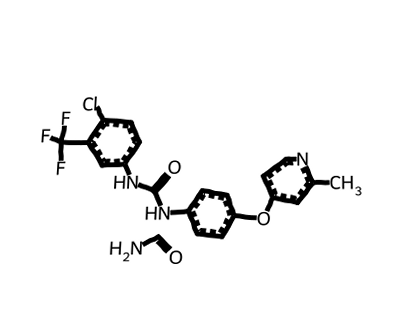 Cc1cc(Oc2ccc(NC(=O)Nc3ccc(Cl)c(C(F)(F)F)c3)cc2)ccn1.NC=O